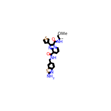 COC[C@H](C)NC(=O)c1c(-c2ccsc2)nc2c(C(=O)NCc3ccc4nc(N)sc4c3)cccn12